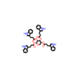 O=C(CCc1c[nH]c2ccccc12)O[C@H]1OC[C@H](OC(=O)CCc2c[nH]c3ccccc23)[C@H](OC(=O)CCc2c[nH]c3ccccc23)[C@H]1OC(=O)CCc1c[nH]c2ccccc12